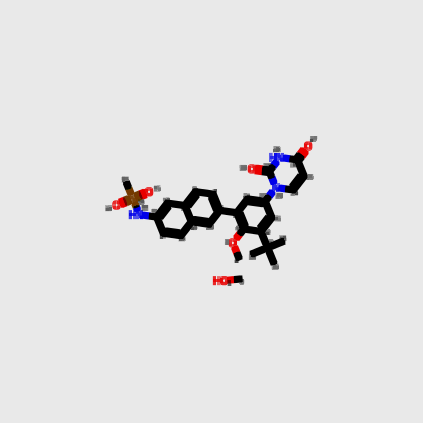 CO.COc1c(-c2ccc3cc(NS(C)(=O)=O)ccc3c2)cc(-n2ccc(=O)[nH]c2=O)cc1C(C)(C)C